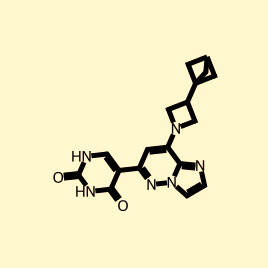 O=c1[nH]cc(-c2cc(N3CC(C45CC(C4)C5)C3)c3nccn3n2)c(=O)[nH]1